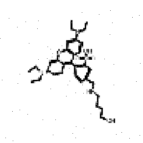 CCN(CC)c1ccc2c(-c3ccc(CNCCCCO)cc3S(=O)(=O)O)c3ccc(=[N+](CC)CC)cc-3oc2c1